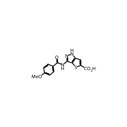 COc1ccc(C(=O)Nc2n[nH]c3cc(C(=O)O)sc23)cc1